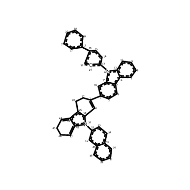 C1=C(c2ccc3c4ccccc4n(-c4ccc(-c5ccccc5)cc4)c3c2)CCc2c1n(-c1ccc3ccccc3c1)c1c2=CCCC=1